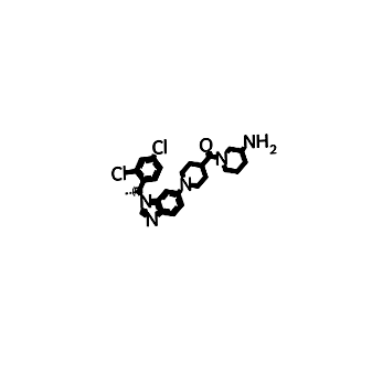 C[C@H](c1ccc(Cl)cc1Cl)n1cnc2ccc(N3CCC(C(=O)N4CCCC(N)C4)CC3)cc21